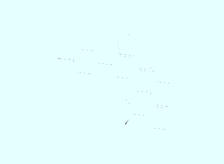 CC(=O)N1CC=C(c2cc3c(N[C@H](C)c4cccc(C)c4)nc(C)nc3c3c2CCC3)CC1